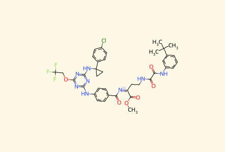 COC(=O)/C(CCNC(=O)C(=O)Nc1cccc(C(C)(C)C)c1)=N\C(=O)c1ccc(Nc2nc(NC3(c4ccc(Cl)cc4)CC3)nc(OCC(F)(F)F)n2)cc1